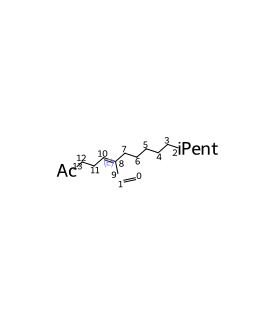 C=C.CCCC(C)CCCCC/C(C)=C/CCC(C)=O